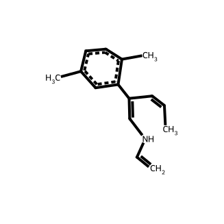 C=CN/C=C(\C=C/C)c1cc(C)ccc1C